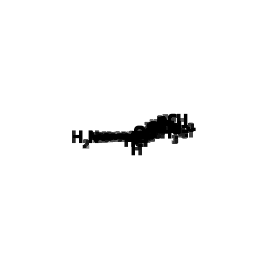 CC(C)CCC[C@@H](C)[C@H]1CCC2C3CC=C4CC(OC(=O)NCCCCCCCCCCCCN)CC[C@]4(C)C3CC[C@@]21C.Cl